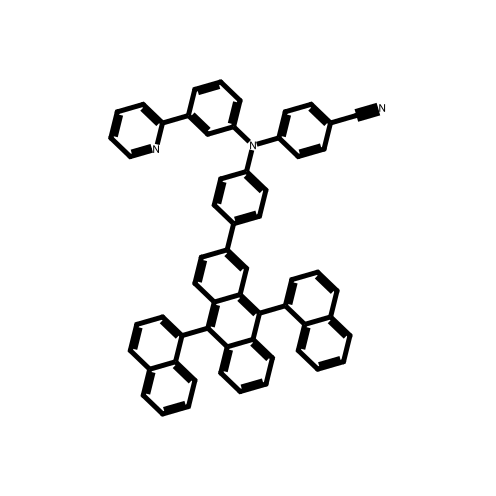 N#Cc1ccc(N(c2ccc(-c3ccc4c(-c5cccc6ccccc56)c5ccccc5c(-c5cccc6ccccc56)c4c3)cc2)c2cccc(-c3ccccn3)c2)cc1